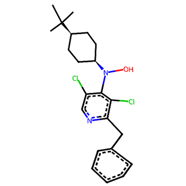 CC(C)(C)[C@H]1CC[C@@H](N(O)c2c(Cl)cnc(Cc3ccccc3)c2Cl)CC1